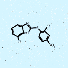 O=[N+]([O-])c1ccc(Sc2nc3cccc(Cl)c3s2)c(Cl)c1